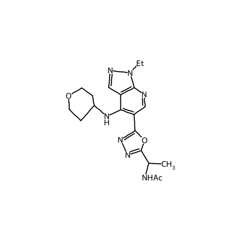 CCn1ncc2c(NC3CCOCC3)c(-c3nnc(C(C)NC(C)=O)o3)cnc21